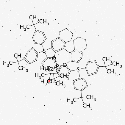 CC(C)(C)c1ccc(S(c2ccc(C(C)(C)C)cc2)(c2ccc(C(C)(C)C)cc2)c2cc3c(c4c2OP(=O)(O)Oc2c(S(c5ccc(C(C)(C)C)cc5)(c5ccc(C(C)(C)C)cc5)c5ccc(C(C)(C)C)cc5)cc5c(c2-4)CCCC5)CCCC3)cc1